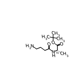 C[C@H](NC(=O)CCCN)C(=O)OC(C)(C)C